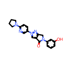 O=C1c2cn(-c3ccc(N4CCCC4)nc3)nc2CN1c1cccc(O)c1